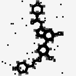 N#Cc1nc(-c2cnc(OCCC3CCNCC3)c(C(F)(F)F)c2)c2ccn(CC(=O)N3CCOCC3)c2n1